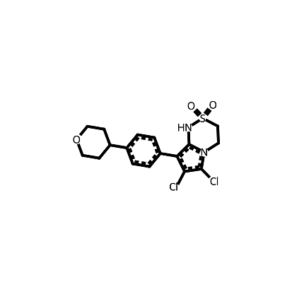 O=S1(=O)CCn2c(Cl)c(Cl)c(-c3ccc(C4CCOCC4)cc3)c2N1